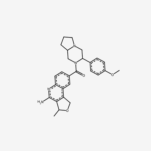 COc1ccc(C2CN3CCCC3CN2C(=O)c2ccc3nc(N)c4c(c3c2)COC4C)cc1